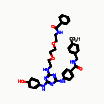 O=C(O)c1ccc(CNC(=O)c2ccc(Nc3nc(NCCOCCOCCNC(=O)c4ccccc4)nc(Nc4ccc(O)cc4)n3)cc2)cc1